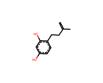 C=C(C)CCc1ccc(O)cc1O